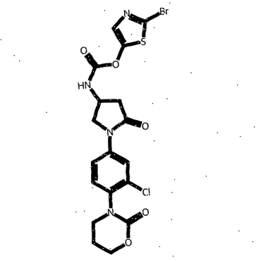 O=C(NC1CC(=O)N(c2ccc(N3CCCOC3=O)c(Cl)c2)C1)Oc1cnc(Br)s1